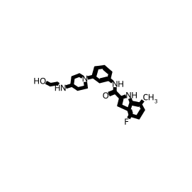 Cc1ccc(F)c2cc(C(=O)Nc3cccc(N4CCC(NCCO)CC4)c3)[nH]c12